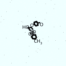 Cc1ccc(S(=O)(=O)N2CC(O)C(Oc3ccc(C=O)cc3)C2)cc1